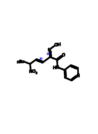 CCCCC(/C=C/C(=N/O)C(=O)Nc1ccncc1)[N+](=O)[O-]